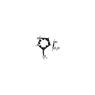 FC(F)(F)c1cc[nH]n1.O=S(=O)(O)O